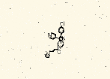 O=C(/C=C/CN1CCC1)N1CCn2nc(-c3ccc(Cl)cc3)c(-c3ccncc3)c2C1